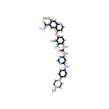 CCN1CCN(c2ccc(Nc3cc(NC(=O)Nc4ccc(Oc5ccnc6cc(OC)c(C(N)=O)cc56)c(Cl)c4Cl)ncn3)cc2)CC1